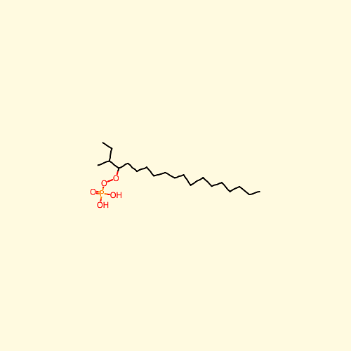 CCCCCCCCCCCCCCCC(OOP(=O)(O)O)C(C)CC